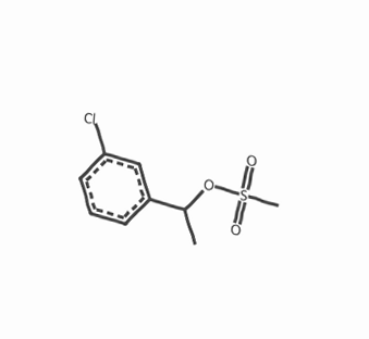 CC(OS(C)(=O)=O)c1cccc(Cl)c1